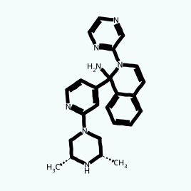 C[C@@H]1CN(c2cc(C3(N)c4ccccc4C=CN3c3cnccn3)ccn2)C[C@H](C)N1